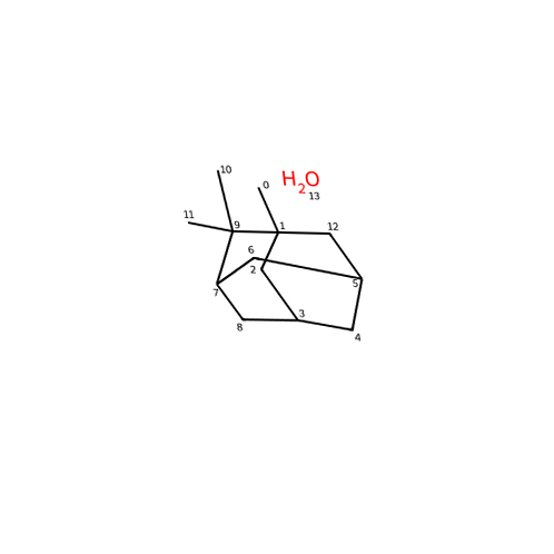 CC12CC3CC(CC(C3)C1(C)C)C2.O